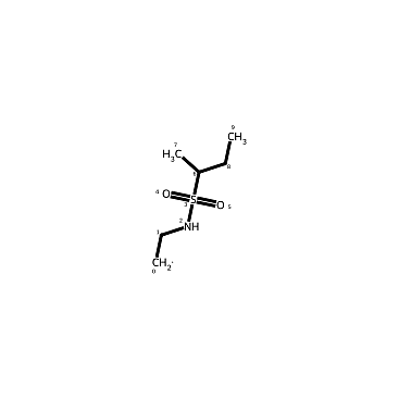 [CH2]CNS(=O)(=O)C(C)CC